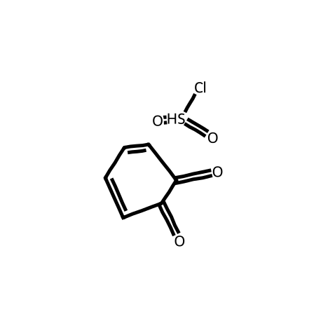 O=C1C=CC=CC1=O.O=[SH](=O)Cl